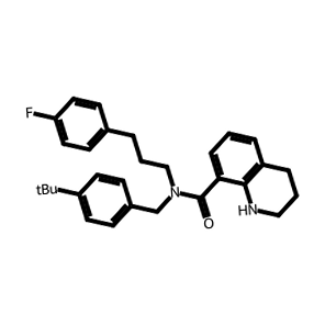 CC(C)(C)c1ccc(CN(CCCc2ccc(F)cc2)C(=O)c2cccc3c2NCCC3)cc1